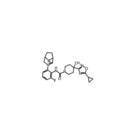 CC(C)N1C2CCC1CN(c1cccc(F)c1NC(=O)N1CCC(C)(c3noc(C4CC4)n3)CC1)C2